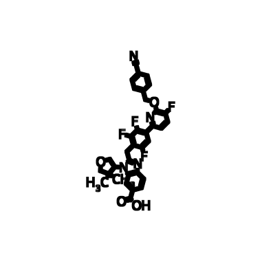 CC1(C)COCC1n1c(Cc2c(F)cc(-c3ccc(F)c(OCc4ccc(C#N)cc4)n3)c(F)c2F)nc2ccc(C(=O)O)cc21